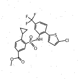 COC(=O)c1ccc(C2CC2)c(S(=O)(=O)Nc2cc(C(F)(F)F)ccc2-c2ccc(Cl)s2)c1